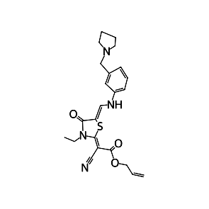 C=CCOC(=O)C(C#N)=c1sc(=CNc2cccc(CN3CCCC3)c2)c(=O)n1CC